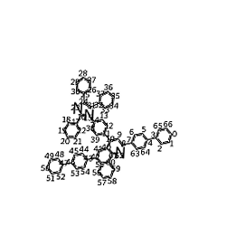 c1ccc(-c2ccc(-c3cc(-c4ccc(-n5c(-c6ccccc6)nc(-c6ccccc6)c5-c5ccccc5)cc4)c4cc(-c5ccc(-c6ccccc6)cc5)c5ccccc5c4n3)cc2)cc1